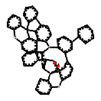 c1ccc(-c2ccc3c(c2)-c2ccc4c(c2)C2(c5ccccc5S4)c4ccccc4-c4c2cc(c2ccccc42)N3c2ccc3c(c2)C2(c4ccccc4Oc4ccccc42)c2ccccc2-3)cc1